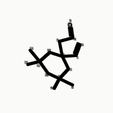 C=CC1(CC=O)CC(C)(C)CC(C)(C)C1